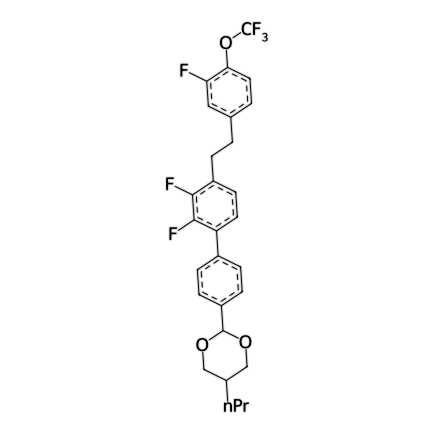 CCCC1COC(c2ccc(-c3ccc(CCc4ccc(OC(F)(F)F)c(F)c4)c(F)c3F)cc2)OC1